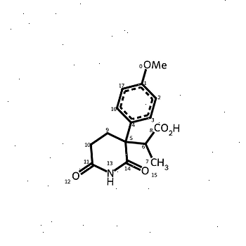 COc1ccc(C2(C(C)C(=O)O)CCC(=O)NC2=O)cc1